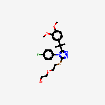 COc1ccc(C(C)(C)c2nnc(SCCOCCO)n2-c2ccc(F)cc2)cc1OC